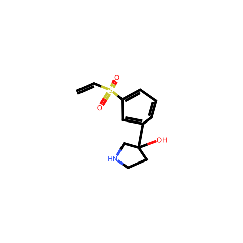 C=CS(=O)(=O)c1cccc(C2(O)CCNC2)c1